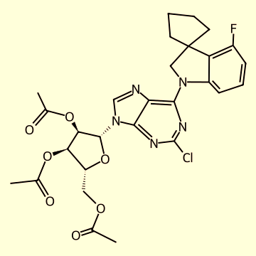 CC(=O)OC[C@H]1O[C@@H](n2cnc3c(N4CC5(CCCC5)c5c(F)cccc54)nc(Cl)nc32)[C@H](OC(C)=O)[C@@H]1OC(C)=O